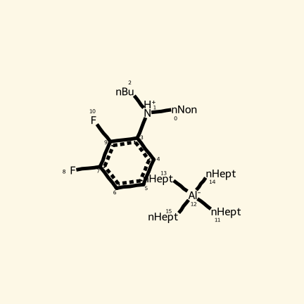 CCCCCCCCC[NH+](CCCC)c1cccc(F)c1F.CCCCCC[CH2][Al-]([CH2]CCCCCC)([CH2]CCCCCC)[CH2]CCCCCC